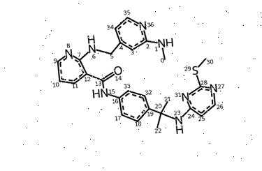 CNc1cc(CNc2ncccc2C(=O)Nc2ccc(C(C)(C)Nc3ccnc(SC)n3)cc2)ccn1